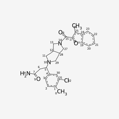 Cc1ccc(C(CC(N)=O)N2CC3CN(C(=O)c4oc5ccccc5c4C)CC3C2)cc1Cl